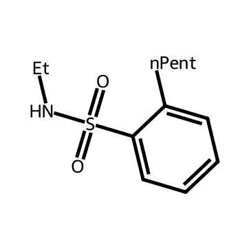 CCCCCc1ccccc1S(=O)(=O)NCC